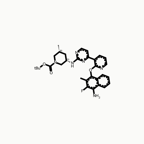 Cc1c(F)c(N)c2ccccc2c1Oc1ncccc1-c1ccnc(N[C@H]2C[C@@H](C)CN(C(=O)OC(C)(C)C)C2)n1